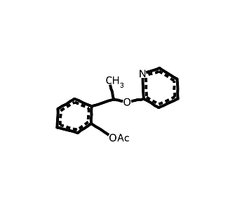 CC(=O)Oc1ccccc1C(C)Oc1ccccn1